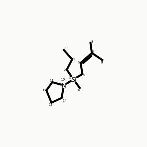 CCC[Si](C)(CC=C(C)C)N1CCCC1